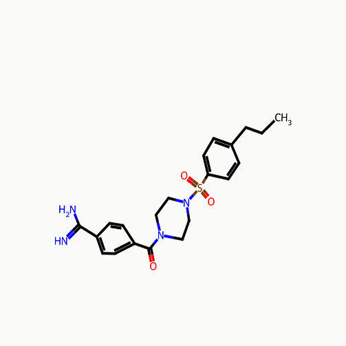 CCCc1ccc(S(=O)(=O)N2CCN(C(=O)c3ccc(C(=N)N)cc3)CC2)cc1